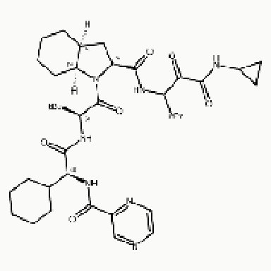 CCCC(NC(=O)[C@@H]1C[C@@H]2CCCC[C@@H]2N1C(=O)[C@@H](NC(=O)[C@@H](NC(=O)c1cnccn1)C1CCCCC1)C(C)(C)C)C(=O)C(=O)NC1CC1